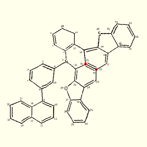 C1=CC(N(c2cccc(-c3cccc4ccccc34)c2)c2cccc3c2oc2ccccc23)=C(c2cccc3c2sc2ccccc23)CC1